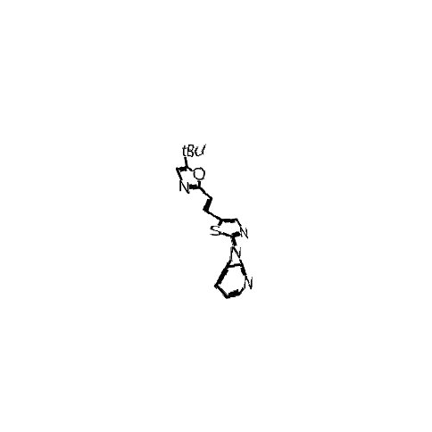 CC(C)(C)c1cnc(/C=C/c2cnc(N3c4cccnc43)s2)o1